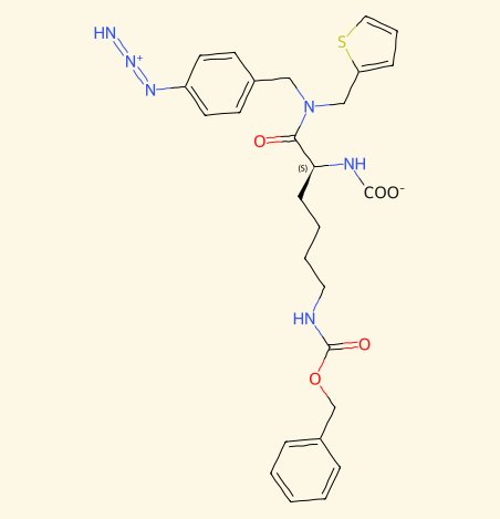 N=[N+]=Nc1ccc(CN(Cc2cccs2)C(=O)[C@H](CCCCNC(=O)OCc2ccccc2)NC(=O)[O-])cc1